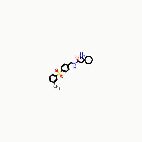 NC1(CC(=O)NCc2ccc(S(=O)(=O)c3cccc(C(F)(F)F)c3)cc2)CCCCC1